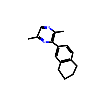 Cc1cnc(C)c(-c2ccc3c(c2)[C]CCC3)n1